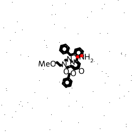 COCCN1CN(C(c2ccccc2)c2ccccc2)n2c(CN)cc(=O)c(OCc3ccccc3)c2C1=O